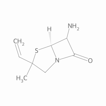 C=CC1(C)CN2C(=O)C(N)[C@@H]2S1